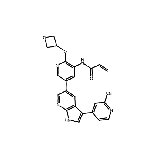 C=CC(=O)Nc1cc(-c2cnc3[nH]cc(-c4ccnc(C#N)c4)c3c2)cnc1OC1COC1